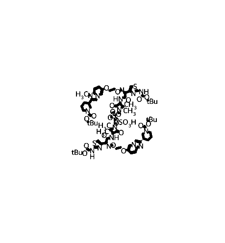 CC(C)(C)OC(=O)Nc1nc(/C(=N/OCCOc2ccc3nc([C@H]4CCCN(C(=O)OC(C)(C)C)C4)cn3c2)C(=O)NC2C(=O)N(OS(=O)(=O)O)C2(C)C)cs1.C[n+]1c(C2CCCN(C(=O)OC(C)(C)C)C2)cn2cc(OCCO/N=C(\C(=O)NC3C(=O)N(OS(=O)(=O)[O-])C3(C)C)c3csc(NC(=O)OC(C)(C)C)n3)ccc21